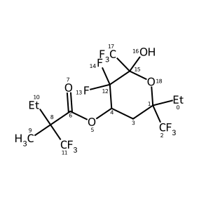 CCC1(C(F)(F)F)CC(OC(=O)C(C)(CC)C(F)(F)F)C(F)(F)C(O)(C(F)(F)F)O1